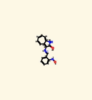 O=Nc1ccccc1/C=N/c1c2cccccc-2[nH]c1=O